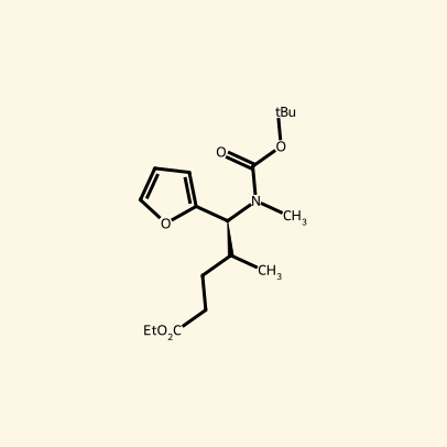 CCOC(=O)CCC(C)[C@@H](c1ccco1)N(C)C(=O)OC(C)(C)C